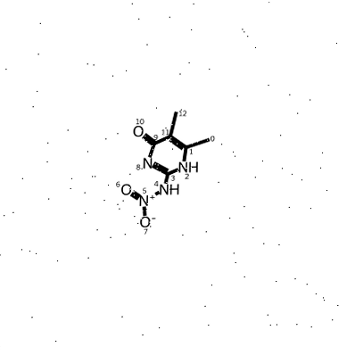 Cc1[nH]c(N[N+](=O)[O-])nc(=O)c1C